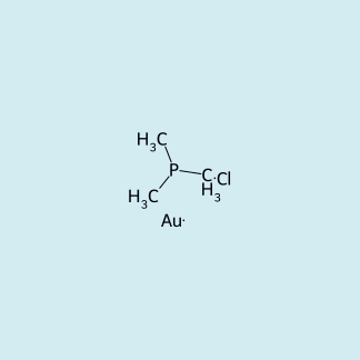 CP(C)C.[Au].[Cl]